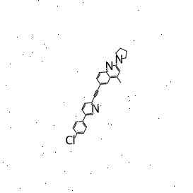 Cc1cc(N2CCCC2)nc2ccc(C#Cc3ccc(-c4ccc(Cl)cc4)cn3)cc12